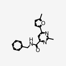 Cc1nc(C(=O)NCc2ccccc2)cc(-c2ccc(C)o2)n1